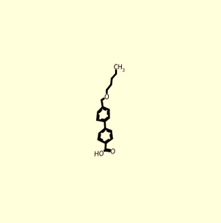 CCCCCOCc1ccc(-c2ccc(C(=O)O)cc2)cc1